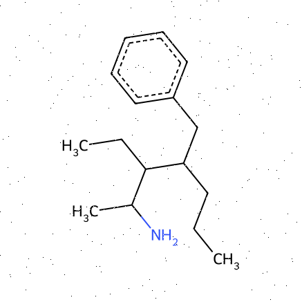 CCCC(Cc1ccccc1)C(CC)C(C)N